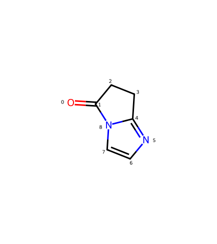 O=C1CCc2nccn21